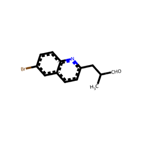 CC(C=O)Cc1ccc2cc(Br)ccc2n1